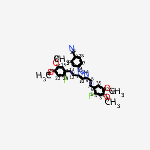 COc1cc(F)c(/C=C/c2cc(/C=C/c3cc(OC)c(OC)cc3F)n(-c3ccc(C#N)cc3)n2)cc1OC